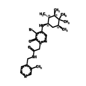 Cc1cnccc1CNC(=O)Cn1ncc(N[C@@H]2C[C@H](C)C(C)(C)[C@H](C)[C@H]2C)c(Br)c1=O